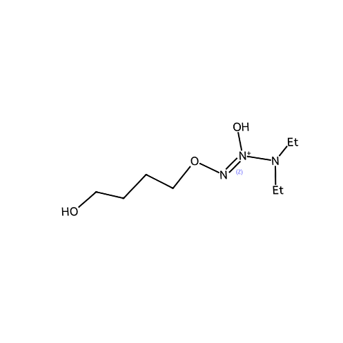 CCN(CC)/[N+](O)=N/OCCCCO